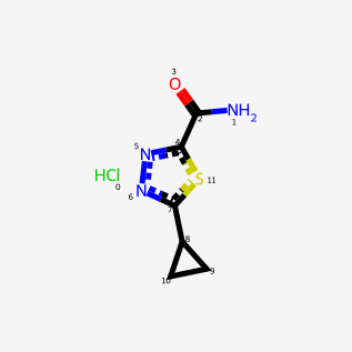 Cl.NC(=O)c1nnc(C2CC2)s1